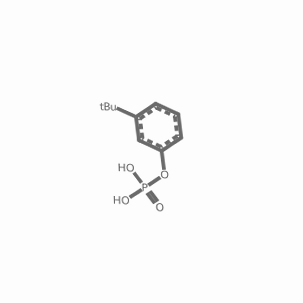 CC(C)(C)c1cccc(OP(=O)(O)O)c1